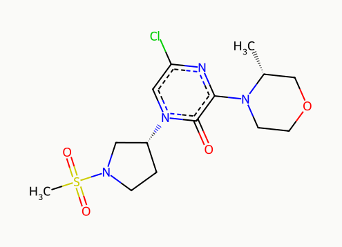 C[C@@H]1COCCN1c1nc(Cl)cn([C@@H]2CCN(S(C)(=O)=O)C2)c1=O